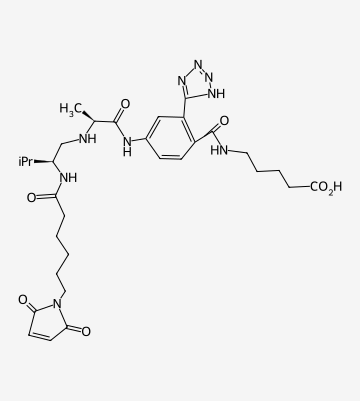 CC(C)[C@@H](CN[C@@H](C)C(=O)Nc1ccc(C(=O)NCCCCC(=O)O)c(-c2nnn[nH]2)c1)NC(=O)CCCCCN1C(=O)C=CC1=O